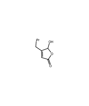 CC(C)CC1=CC(=O)OC1O